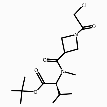 CC(C)[C@@H](C(=O)OC(C)(C)C)N(C)C(=O)C1CN(C(=O)CCl)C1